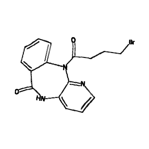 O=C1Nc2cccnc2N(C(=O)CCCBr)c2ccccc21